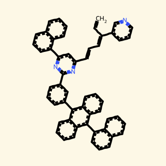 C=C/C(=C\C=C\c1cc(-c2cccc3ccccc23)nc(-c2cccc(-c3c4ccccc4c(-c4cccc5ccccc45)c4ccccc34)c2)n1)c1cccnc1